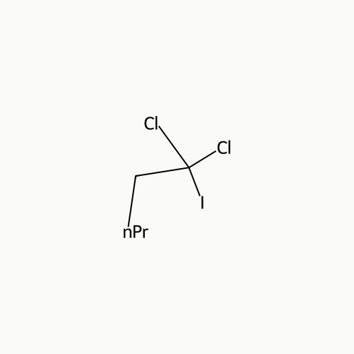 CCCCC(Cl)(Cl)I